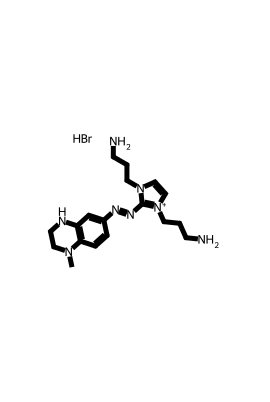 Br.CN1CCNc2cc(/N=N/c3n(CCCN)cc[n+]3CCCN)ccc21